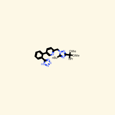 CCCCc1nc(C(CCC)(OC)OC)nn1Cc1ccc(-c2ccccc2-c2nnn[nH]2)cn1